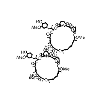 CO[C@H]1C[C@@H]2CC[C@@H](C)[C@@](O)(O2)C(=O)C(=O)N2CCCC[C@H]2C(=O)O[C@H]([C@H](C)C[C@@H]2CC[C@@H](O)[C@H](OC)C2)CC(=O)[C@H](C)/C=C(\C)[C@@H](O)[C@@H](OC)C(=O)[C@H](C)C[C@H](C)/C=C/C=C/C=C/1C.CO[C@H]1C[C@@H]2CC[C@@H](C)[C@@](O)(O2)C(=O)C(=O)N2CCCC[C@H]2C(=O)O[C@H]([C@H](C)C[C@@H]2CC[C@@H](O)[C@H](OC)C2)CC(=O)[C@H](C)/C=C(\C)[C@@H](O)[C@@H](OC)C(=O)[C@H](C)C[C@H](C)/C=C/C=C/C=C/1C